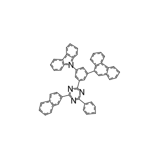 c1ccc(-c2nc(-c3cc(-c4cc5ccccc5c5ccccc45)cc(-n4c5ccccc5c5ccccc54)c3)nc(-c3ccc4ccccc4c3)n2)cc1